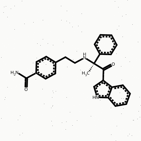 C[C@@](NCCc1ccc(C(N)=O)cc1)(C(=O)c1c[nH]c2ccccc12)c1ccccc1